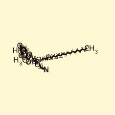 CCCCCCCCCCCCCCCCOCCCOP(OCCC#N)OC[C@H]1O[C@@H](n2ccc(=O)[nH]c2=O)[C@](C)(F)[C@@H]1O